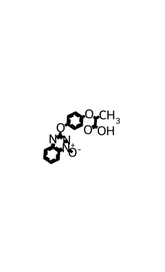 CC(Oc1ccc(Oc2nc3ccccc3[n+]([O-])n2)cc1)C(=O)O